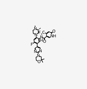 C[C@H]1CN(c2cc(F)c(-c3cnc(N4CCOC(C)(C)C4)nc3)cc2NC(=O)c2c[nH]c(=O)cc2C(F)(F)F)CCN1C